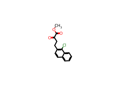 COC(=O)C(=O)CCc1ccc2ccccc2c1Cl